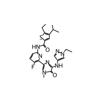 CCc1sc(C(=O)Nc2ccc(F)c(-c3cn(C)c(=O)c(Nc4cnn(CC)c4)n3)n2)cc1C(C)C